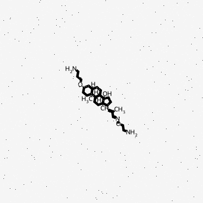 CC(/C=N/OCCN)=C\[C@H]1CC[C@]2(O)[C@@H]3CC[C@@H]4C[C@H](OCCCN)CC[C@]4(C)[C@H]3CC[C@]12C